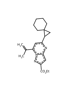 C=C(C)c1cc(C2CC23CCCCC3)nc2cc(C(=O)OCC)nn12